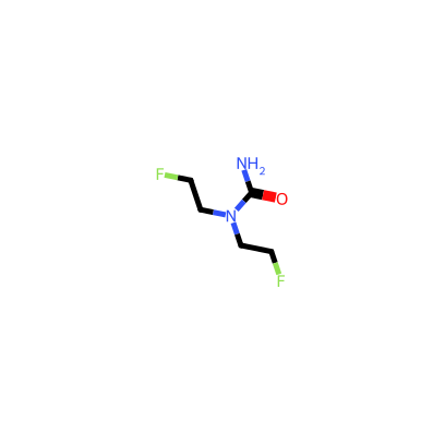 NC(=O)N(CCF)CCF